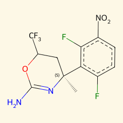 C[C@@]1(c2c(F)ccc([N+](=O)[O-])c2F)CC(C(F)(F)F)OC(N)=N1